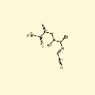 C=C(CC(O)C(CC)/N=C/B=O)C(=O)NC